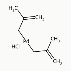 C=C(C)[CH2][Pd][CH2]C(=C)C.Cl